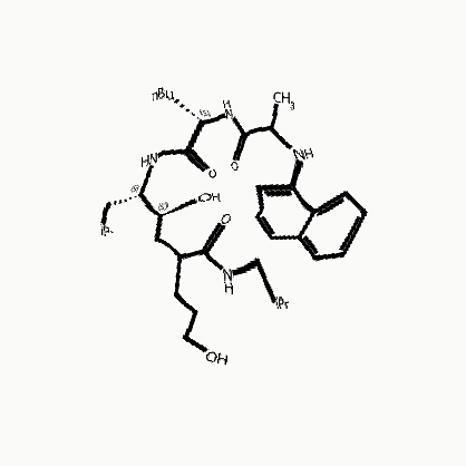 CCCC[C@H](NC(=O)C(C)Nc1cccc2ccccc12)C(=O)N[C@@H](CC(C)C)[C@@H](O)CC(CCCO)C(=O)NCC(C)C